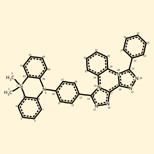 C[Si]1(C)c2ccccc2N(c2ccc(-c3nnc4c5nnc(-c6ccccc6)n5c5ccccc5n34)cc2)c2ccccc21